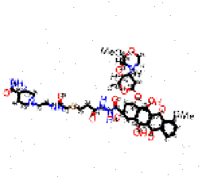 COc1cccc2c1C(=O)c1c(O)c3c(c(O)c1C2=O)C[C@@](O)(C(=O)NNC(=O)CCSCC(=O)NCCN1CCC(C(N)=O)CC1)C[C@@H]3O[C@H]1C[C@H]2[C@H](O[C@@H]3[C@@H](OC)OCCN32)[C@H](C)O1